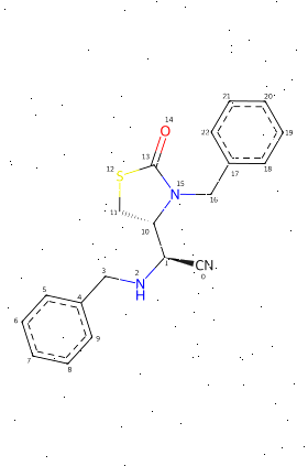 N#C[C@@H](NCc1ccccc1)[C@@H]1CSC(=O)N1Cc1ccccc1